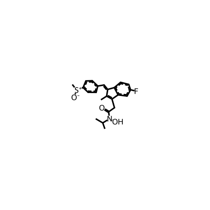 CC1=C(CC(=O)N(O)C(C)C)c2cc(F)ccc2C1=Cc1ccc([S+](C)[O-])cc1